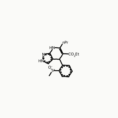 CCCC1=C(C(=O)OCC)C(c2ccccc2[S+](C)[O-])c2c[nH]nc2N1